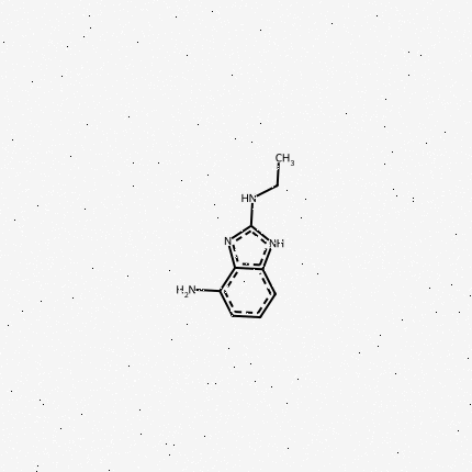 CCNc1nc2c(N)cccc2[nH]1